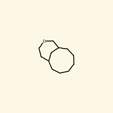 C1CCCC2COCCC(CC1)C2